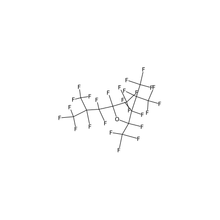 FC(F)(F)C(F)(OC(F)(C(F)(F)F)C(F)(F)C(F)(C(F)(F)F)C(F)(F)F)C(F)(F)C(F)(C(F)(F)F)C(F)(F)F